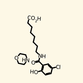 C1COCCN1.O=C(O)CCCCCCCNC(=O)c1cc(Cl)ccc1O